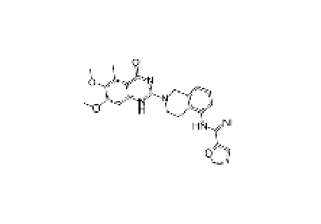 COc1cc2[nH]c(N3CCc4c(cccc4NC(=N)c4ccco4)C3)nc(=O)c2c(C)c1OC